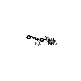 CC(N)(CO)c1nnc(-c2ccc(OCCCCCc3ccccc3)c(C(F)(F)F)c2)s1